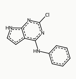 Clc1nc(Nc2ccccc2)c2cc[nH]c2n1